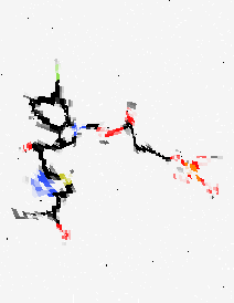 CC[C@H](O)c1csc(C(=O)c2cn(COC(=O)CCCOP(=O)(O)O)c3cc(F)ccc23)n1